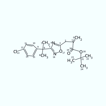 C=C(Cc1nc(C(C)(C)c2ccc(Cl)cc2)no1)C(=O)OC(C)(C)C